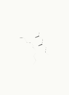 CCCC(=O)CC(=O)[O-].CCC[O][Al+][O]CCC